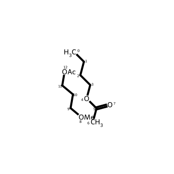 CCCCOC(C)=O.COCCCOC(C)=O